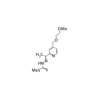 COCCOCc1ccnc(/C(C)=N/NC(=S)SC)c1